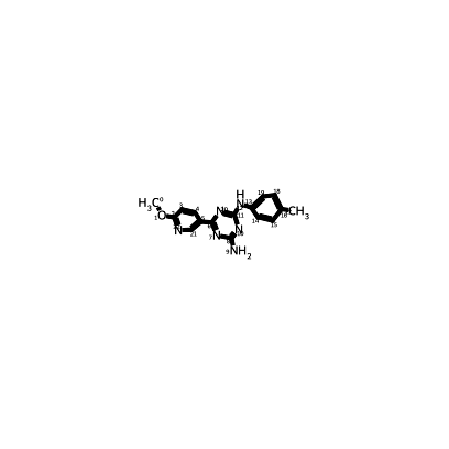 COc1ccc(-c2nc(N)nc(Nc3ccc(C)cc3)n2)cn1